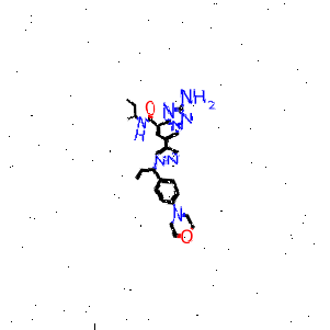 CCC(c1ccc(N2CCOCC2)cc1)n1cc(-c2cc(C(=O)N[C@@H](C)CC)c3nc(N)nn3c2)cn1